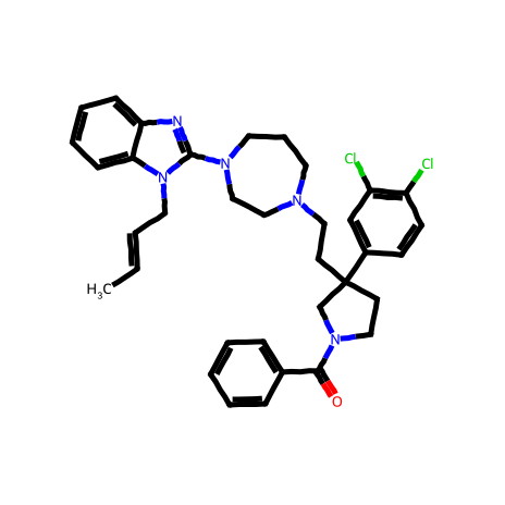 CC=CCn1c(N2CCCN(CCC3(c4ccc(Cl)c(Cl)c4)CCN(C(=O)c4ccccc4)C3)CC2)nc2ccccc21